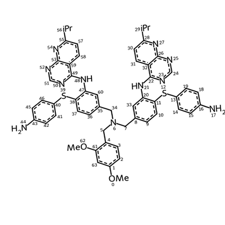 COc1ccc(CN(Cc2ccc(Sc3ccc(N)cc3)c(Nc3ncnc4nc(C(C)C)ccc34)c2)Cc2ccc(Sc3ccc(N)cc3)c(Nc3ncnc4nc(C(C)C)ccc34)c2)c(OC)c1